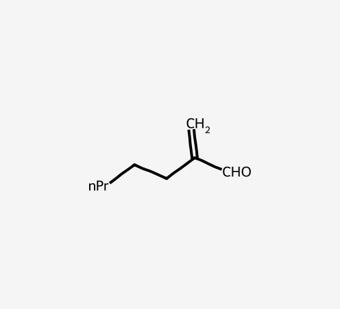 C=C(C=O)CCCCC